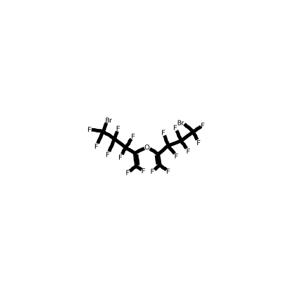 FC(F)=C(OC(=C(F)F)C(F)(F)C(F)(F)C(F)(F)Br)C(F)(F)C(F)(F)C(F)(F)Br